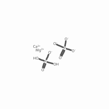 O=P([O-])(O)O.O=P([O-])([O-])[O-].[Ca+2].[Mg+2]